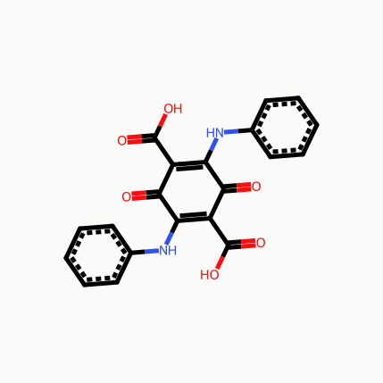 O=C(O)C1=C(Nc2ccccc2)C(=O)C(C(=O)O)=C(Nc2ccccc2)C1=O